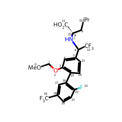 COCOc1cc(C(N[C@@H](CC(C)C)C(=O)O)C(F)(F)F)ccc1-c1cc(C(F)(F)F)ccc1F